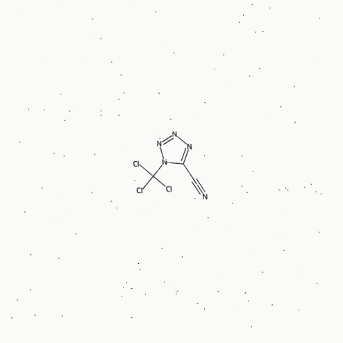 N#Cc1nnnn1C(Cl)(Cl)Cl